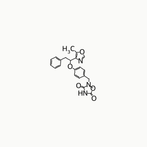 Cc1ocnc1C(Cc1ccccc1)Oc1ccc(Cn2oc(=O)[nH]c2=O)cc1